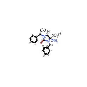 N[C@@]1(C(=O)O)[C@H](C(=O)O)N(Cc2ccccc2)C(=O)N1Cc1ccccc1